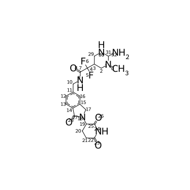 CN1CC(C(F)(F)C(=O)NCc2ccc3c(c2)CN(C2CCC(=O)NC2=O)C3=O)CNC1N